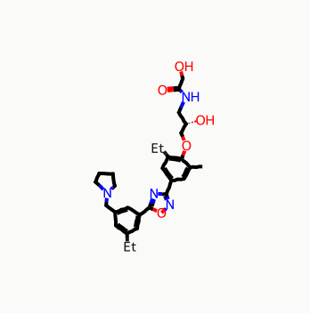 CCc1cc(CN2CCCC2)cc(-c2nc(-c3cc(C)c(OC[C@@H](O)CNC(=O)CO)c(CC)c3)no2)c1